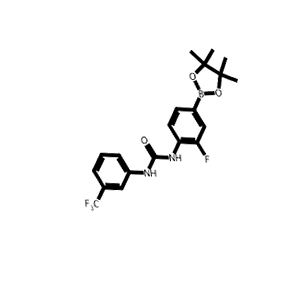 CC1(C)OB(c2ccc(NC(=O)Nc3cccc(C(F)(F)F)c3)c(F)c2)OC1(C)C